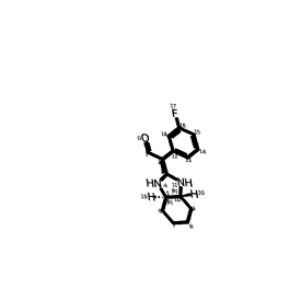 O=CC(=C1N[C@@H]2CCCC[C@H]2N1)c1cccc(F)c1